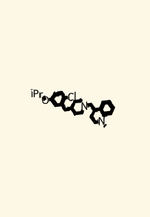 CC(C)Oc1ccc(Cl)c(CC2CCN(CC3CCN(C)c4ccccc43)CC2)c1